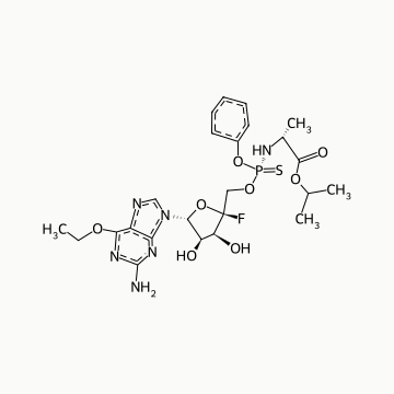 CCOc1nc(N)nc2c1ncn2[C@@H]1O[C@](F)(CO[P@@](=S)(N[C@H](C)C(=O)OC(C)C)Oc2ccccc2)[C@@H](O)[C@H]1O